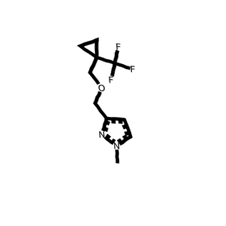 Cn1ccc(COCC2(C(F)(F)F)CC2)n1